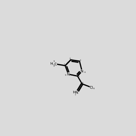 Cc1ccnc(C(=N)Cl)n1